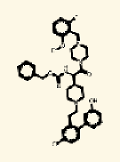 CCOc1cccc(F)c1CN1CCN(C(=O)[C@H](NC(=O)OCc2ccccc2)C2CCN(CCc3cc(Cl)ccc3-c3cccc(O)c3)CC2)CC1